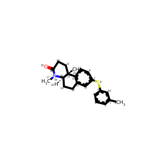 Cc1cccc(Sc2ccc3c(c2)CC[C@H]2N(C)C(=O)CC[C@]32C)c1